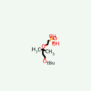 CC(C)(C)OCCC(C)(C)OCCP(=O)(O)O